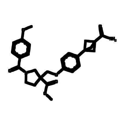 COC(=O)C1(COc2ccc(C34CC(C(N)=O)(C3)C4)cc2)CCN(C(=O)c2ccc(OC)cc2)C1